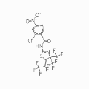 O=C(NC1=NC(C(F)(F)F)(C(F)(F)F)C(=C(F)C(F)(F)F)S1)c1ccc([N+](=O)[O-])cc1Cl